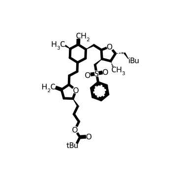 C=C1C[C@H](CCCOC(=O)C(C)(C)C)OC1CCC1C[C@H](CC2O[C@H](C[C@H](C)CC)[C@H](C)[C@H]2CS(=O)(=O)c2ccccc2)C(=C)[C@H](C)C1